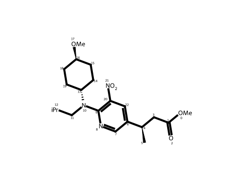 COC(=O)C[C@@H](C)c1cnc(N(CC(C)C)[C@H]2CC[C@H](OC)CC2)c([N+](=O)[O-])c1